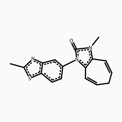 Cc1nc2cc(-n3c4c(n(C)c3=O)C=CCC=C4)ccc2s1